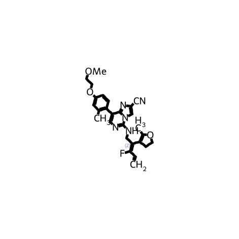 C=C/C(F)=C(/CNc1ncc(-c2ccc(OCCOC)cc2C)c2nc(C#N)cn12)C1=C(C)OCC1